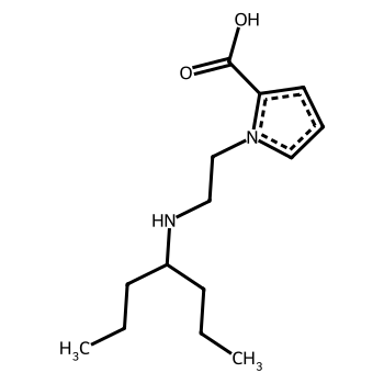 CCCC(CCC)NCCn1cccc1C(=O)O